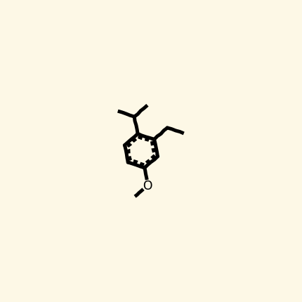 CCc1cc(OC)ccc1C(C)C